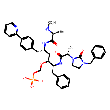 CC(C)(C)[C@H](NC(=O)O)C(=O)N[C@@H](Cc1ccc(-c2ccccn2)cc1)C[C@H](OCO[PH](O)(O)O)[C@H](Cc1ccccc1)NC(=O)[C@@H](N1CCN(Cc2ccccc2)C1=O)C(C)(C)C